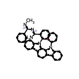 C/N=C(\N=C(/N)c1ccccc1-n1c2ccccc2c2ccc3c4ccccc4n(-c4ccccc4)c3c21)c1ccccc1